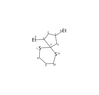 CCC1CC(CC)C2(C1)SCCCS2